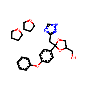 C1CCOC1.C1CCOC1.OCC1COC(Cc2nc[nH]n2)(c2ccc(Oc3ccccc3)cc2)O1